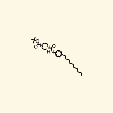 CCCCCCCCCCc1ccc(NC(=O)N2CCN(C(=O)OC(C)(C)C)CC2)cc1